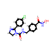 O=C(NO)c1ccc(CNC(=O)N2CCN=C2c2ccc(Cl)cc2)cc1